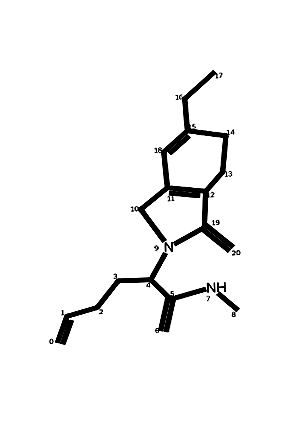 C=CCCC(C(=C)NC)N1CC2=C(CCC(CC)=C2)C1=C